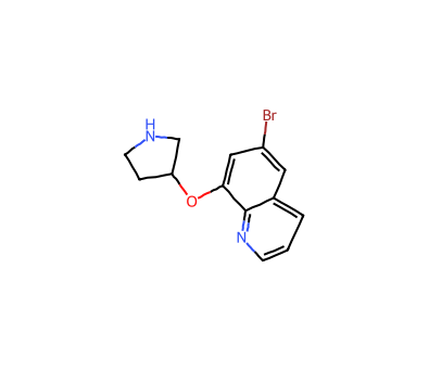 Brc1cc(OC2CCNC2)c2ncccc2c1